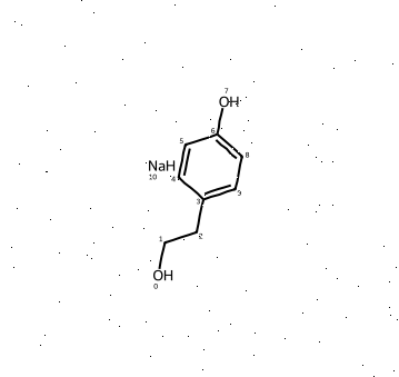 OCCc1ccc(O)cc1.[NaH]